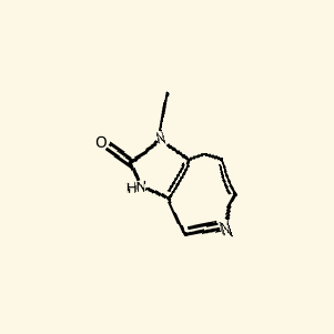 Cn1c(=O)[nH]c2cnccc21